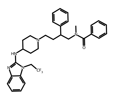 CN(CC(CCN1CCC(Nc2nc3ccccc3n2CC(F)(F)F)CC1)c1ccccc1)C(=O)c1ccccc1